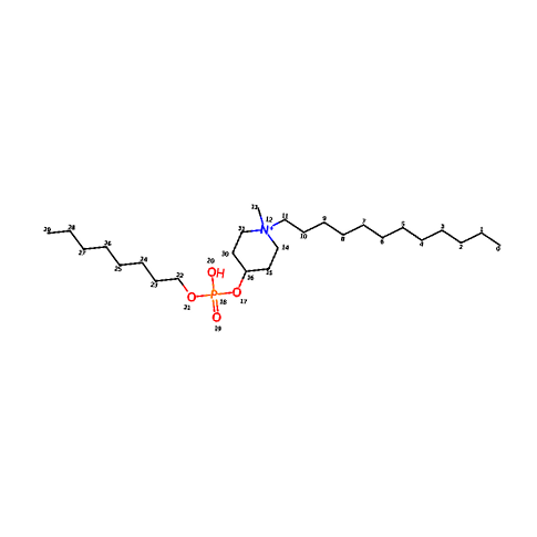 CCCCCCCCCCCC[N+]1(C)CCC(OP(=O)(O)OCCCCCCCC)CC1